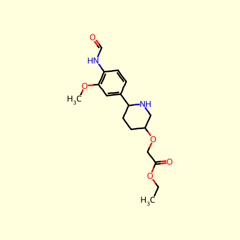 CCOC(=O)COC1CCC(c2ccc(NC=O)c(OC)c2)NC1